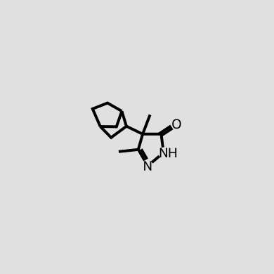 CC1=NNC(=O)C1(C)C1CC2CCC1C2